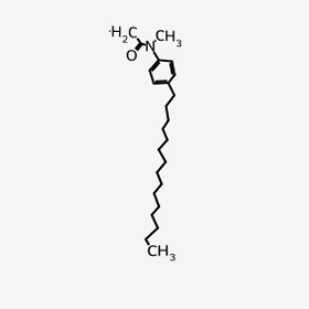 [CH2]C(=O)N(C)c1ccc(CCCCCCCCCCCCCCC)cc1